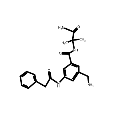 CC(C)(NC(=O)c1cc(CN)cc(NC(=O)Cc2ccccc2)c1)C(N)=O